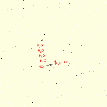 O.O.O.O.O.O.O.O=[N+]([O-])O.[Fe]